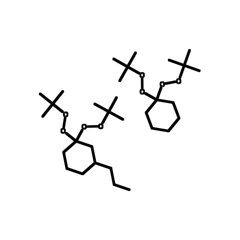 CC(C)(C)OOC1(OOC(C)(C)C)CCCCC1.CCCC1CCCC(OOC(C)(C)C)(OOC(C)(C)C)C1